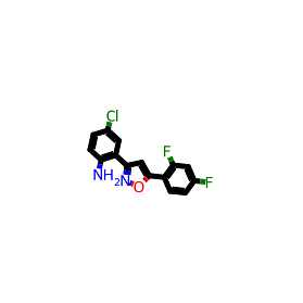 Nc1ccc(Cl)cc1-c1cc(-c2ccc(F)cc2F)on1